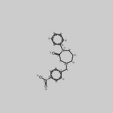 O=C1CN(Cc2ccc([N+](=O)[O-])cc2)CCCN1c1ccccc1